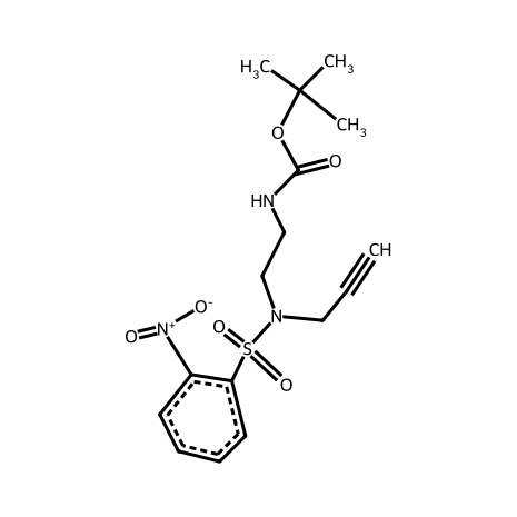 C#CCN(CCNC(=O)OC(C)(C)C)S(=O)(=O)c1ccccc1[N+](=O)[O-]